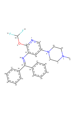 CN1CCN(c2cnc(OC(F)F)c(N=C(c3ccccc3)c3ccccc3)c2)CC1